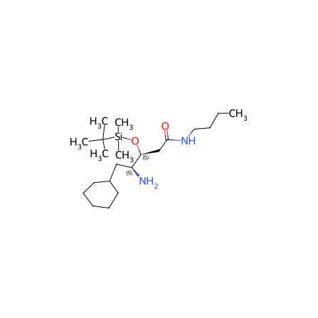 CCCCNC(=O)C[C@H](O[Si](C)(C)C(C)(C)C)[C@@H](N)CC1CCCCC1